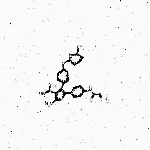 C=CC(=O)Nc1ccc(-c2sc(N)c(C(=N)N)c2-c2ccc(Oc3cccc(C)n3)cc2)cc1